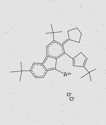 CC(C)(C)C1=CCC(c2c3c(cc(C(C)(C)C)c2=C2CCCC2)=c2cc(C(C)(C)C)ccc2=[C]3[Zr+2])=C1.[Cl-].[Cl-]